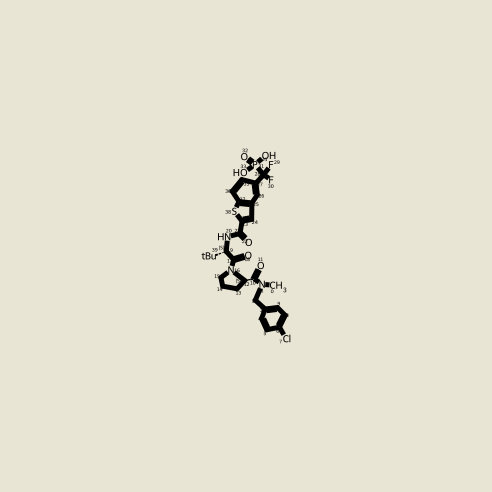 CN(Cc1ccc(Cl)cc1)C(=O)[C@@H]1CCCN1C(=O)[C@@H](NC(=O)c1cc2cc(C(F)(F)P(=O)(O)O)ccc2s1)C(C)(C)C